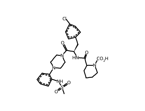 CS(=O)(=O)Nc1ccccc1N1CCN(C(=O)[C@@H](Cc2ccc(Cl)cc2)NC(=O)C2CCCCN2C(=O)O)CC1